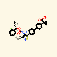 Cc1nsc(-c2ccc(-c3ccc(C4(C(=O)O)CC4)cc3)cc2)c1NC(=O)O[C@H](C)c1ccccc1F